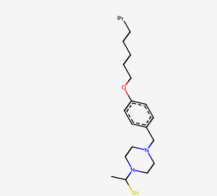 CC(C)CCCCCOc1ccc(CN2CCN(C(C)S)CC2)cc1